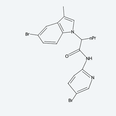 CCCC(C(=O)Nc1ccc(Br)cn1)n1cc(C)c2cc(Br)ccc21